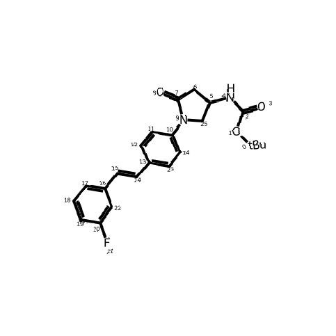 CC(C)(C)OC(=O)NC1CC(=O)N(c2ccc(C=Cc3cccc(F)c3)cc2)C1